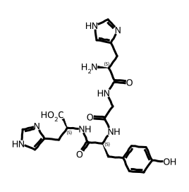 N[C@@H](Cc1c[nH]cn1)C(=O)NCC(=O)N[C@@H](Cc1ccc(O)cc1)C(=O)N[C@@H](Cc1c[nH]cn1)C(=O)O